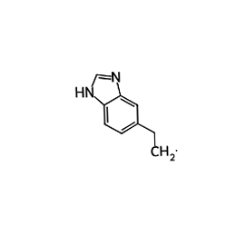 [CH2]Cc1ccc2[nH]cnc2c1